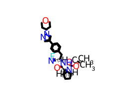 CC(C)(C)OC(=O)N1[C@@H]2CC[C@@H](C2)[C@H]1C(=O)N[C@H](C#N)Cc1ccc(-c2cnn(C3CCOCC3)c2)cc1F